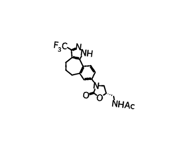 CC(=O)NC[C@H]1CN(c2ccc3c(c2)CCCc2c(C(F)(F)F)n[nH]c2-3)C(=O)O1